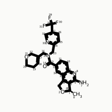 C[C@H]1OCc2c1c(N)nc1ccc(C(=O)N(CC3=CCCOC3)Cc3ccc(C(F)(F)F)cn3)cc21